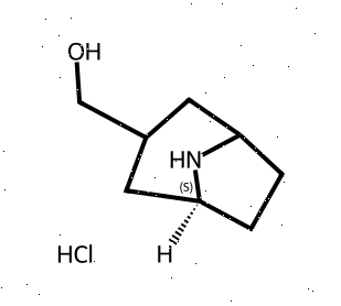 Cl.OCC1CC2CC[C@@H](C1)N2